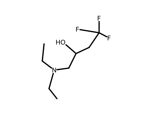 CCN(CC)CC(O)CC(F)(F)F